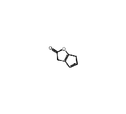 O=C1CC2=C(CC=C2)O1